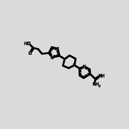 N=C(N)c1ccc(N2CCC(c3nc(CCC(=O)O)cs3)CC2)nc1